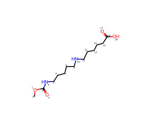 COC(=O)NCCCCCNCCCCCC(=O)O